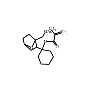 C=C(C)C(=O)OC1(C2CC3CCC2(COC(C)=O)O3)CCCCC1